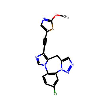 COc1ncc(C#Cc2ncn3c2Cc2cnnn2-c2cc(Cl)ccc2-3)s1